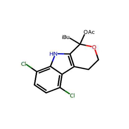 CCC(C)C1(OC(C)=O)OCCc2c1[nH]c1c(Cl)ccc(Cl)c21